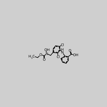 CCOC(=O)N(O)Cc1ccc(Cl)c(Nc2ccccc2C(=O)O)c1Cl